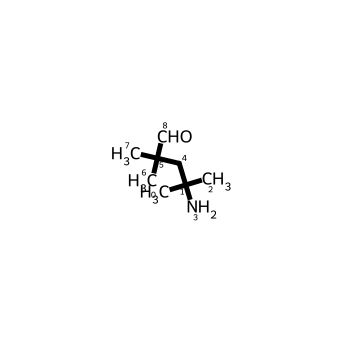 CC(C)(N)CC(C)(C)C=O